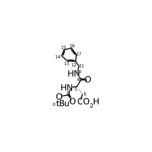 CC(C)(C)OC(=O)N[C@@H](CC(=O)O)C(=O)NCc1ccccc1